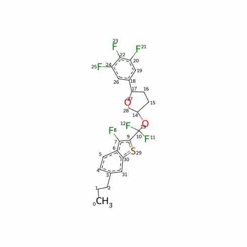 CCCc1ccc2c(F)c(C(F)(F)OC3CCC(c4cc(F)c(F)c(F)c4)OC3)sc2c1